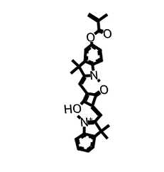 C=C(C)C(=O)Oc1ccc2c(c1)C(C)(C)C(=CC1=C(O)C(=CC3=[N+](C)c4ccccc4C3(C)C)C1=O)N2C